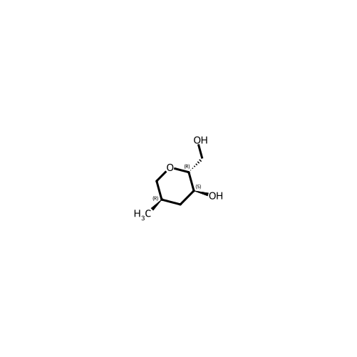 C[C@H]1CO[C@H](CO)[C@@H](O)C1